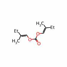 CCC(C)=COC(=O)OC=C(C)CC